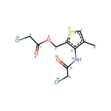 Cc1csc(COC(=O)CCl)c1NC(=O)CCl